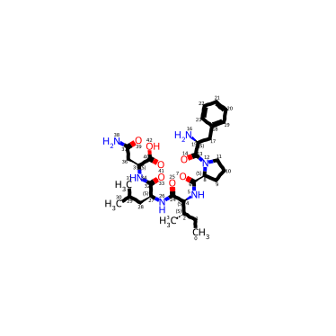 CC[C@H](C)[C@H](NC(=O)[C@@H]1CCCN1C(=O)[C@@H](N)Cc1ccccc1)C(=O)N[C@@H](CC(C)C)C(=O)N[C@@H](CC(N)=O)C(=O)O